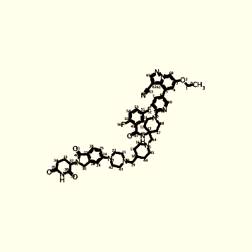 CCOc1cc(-c2ccc(N3CCC(CN4CCC(CN5CCN(c6ccc7c(c6)CN(C6CCC(=O)NC6=O)C7=O)CC5)CC4)(NC(=O)c4cc(F)ccc4F)CC3)nc2)c2c(C#N)cnn2c1